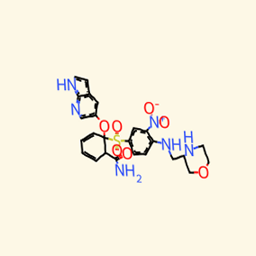 NC(=O)C1C=CC=CC1(Oc1cnc2[nH]ccc2c1)S(=O)(=O)c1ccc(NCC2COCCN2)c([N+](=O)[O-])c1